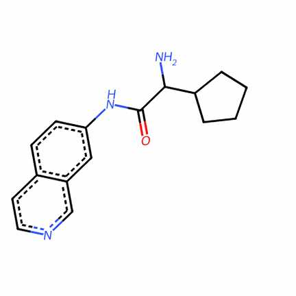 NC(C(=O)Nc1ccc2ccncc2c1)C1CCCC1